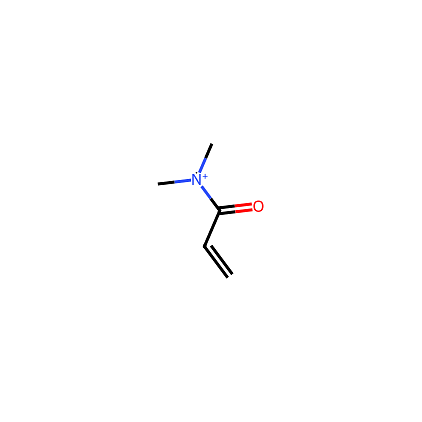 C=CC(=O)[N+](C)C